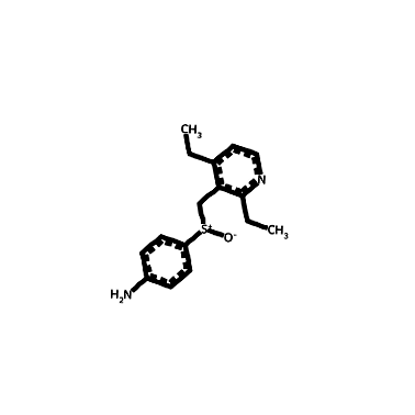 CCc1ccnc(CC)c1C[S+]([O-])c1ccc(N)cc1